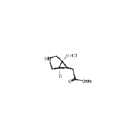 COC(=O)CC1[C@H]2CNC[C@@H]12.Cl